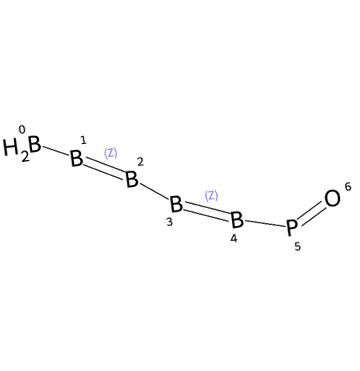 B/B=B\B=B/P=O